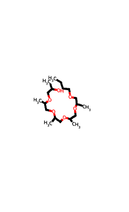 CCCCOCC(C)OCC(C)OCC(C)OCC(C)OCC(C)O